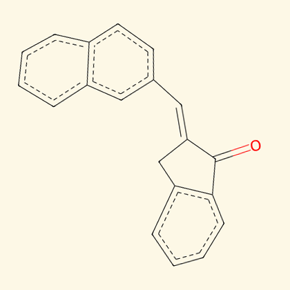 O=C1C(=Cc2ccc3ccccc3c2)Cc2ccccc21